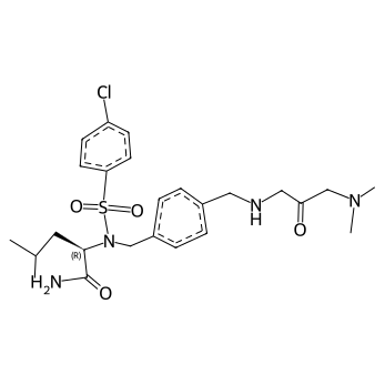 CC(C)C[C@H](C(N)=O)N(Cc1ccc(CNCC(=O)CN(C)C)cc1)S(=O)(=O)c1ccc(Cl)cc1